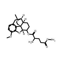 COc1ccc2c3c1O[C@H]1C(OC(=O)C(N)CCC(=O)OP)CC[C@H]4[C@@H](C2)N(C)CC[C@]314